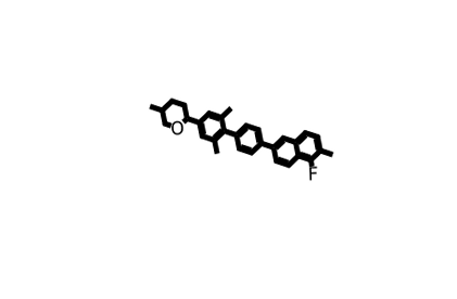 Cc1cc(C2CCC(C)CO2)cc(C)c1-c1ccc(-c2ccc3c(F)c(C)ccc3c2)cc1